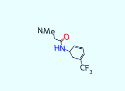 CNCC(=O)NC1C=CC=C(C(F)(F)F)C1